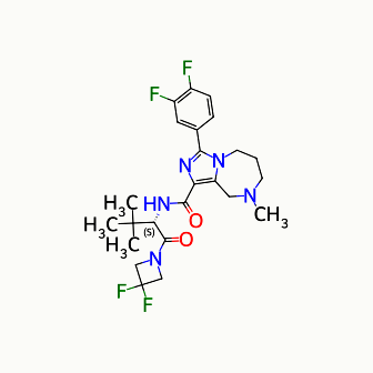 CN1CCCn2c(-c3ccc(F)c(F)c3)nc(C(=O)N[C@H](C(=O)N3CC(F)(F)C3)C(C)(C)C)c2C1